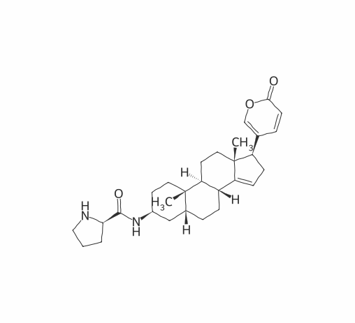 C[C@]12CC[C@H](NC(=O)[C@H]3CCCN3)C[C@H]1CC[C@H]1C3=CC[C@H](c4ccc(=O)oc4)[C@@]3(C)CC[C@@H]12